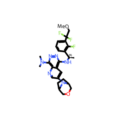 COCC(F)(F)c1cccc([C@@H](C)Nc2nnc(N(C)C)c3ncc(N4C5CCC4COC5)cc23)c1F